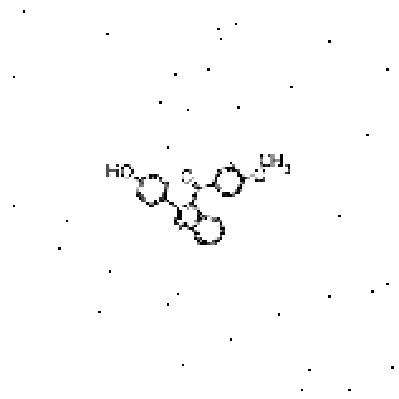 COc1ccc(C(=O)c2c(-c3ccc(O)cc3)sc3ccccc23)cc1